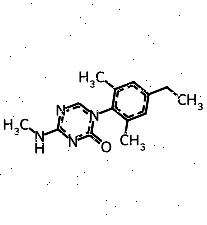 CCc1cc(C)c(-n2cnc(NC)nc2=O)c(C)c1